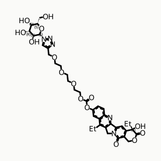 CCc1c2c(nc3ccc(OC(=O)OCCOCCOCCOCc4cn([C@H]5O[C@@H](CO)[C@H](O)[C@@H](O)[C@@H]5O)nn4)cc13)-c1cc3c(c(=O)n1C2)COC(=O)[C@]3(O)CC